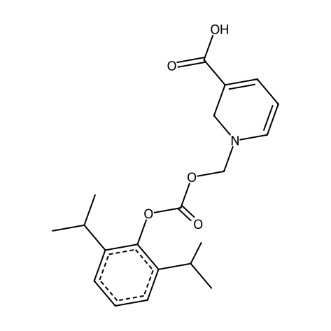 CC(C)c1cccc(C(C)C)c1OC(=O)OCN1C=CC=C(C(=O)O)C1